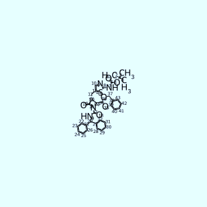 CC(C)(C)OC(=O)Nc1ncc(C[C@H]2C(=O)N(C(=O)NC(c3ccccc3)c3ccccc3)[C@@H]2C(=O)OCc2ccccc2)s1